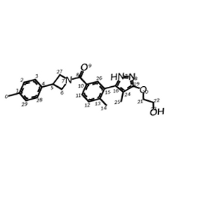 Cc1ccc(C2CN(C(=O)c3ccc(C)c(-c4[nH]nc(OCCO)c4C)c3)C2)cc1